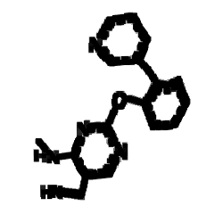 CNc1nc(Oc2ccccc2-c2cccnc2)ncc1C=N